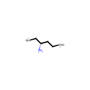 CSCC[C@H](N)CC(C)(C)C